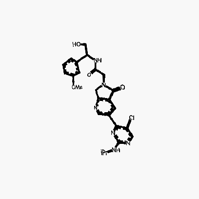 COc1cccc(C(CO)NC(=O)CN2Cc3ncc(-c4nc(NC(C)C)ncc4Cl)cc3C2=O)c1